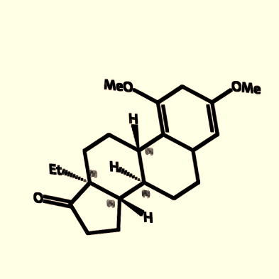 CC[C@]12CC[C@@H]3C4=C(OC)CC(OC)=CC4CC[C@H]3[C@@H]1CCC2=O